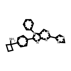 NC1(c2ccc(-c3nc4nc(-c5cscn5)ncc4n3-c3ccccc3)cc2)CCC1